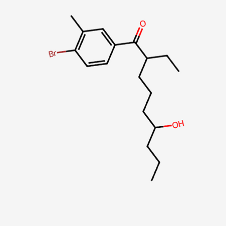 CCCC(O)CCCC(CC)C(=O)c1ccc(Br)c(C)c1